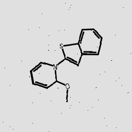 COC1C=CC=CN1c1cc2ccccc2s1